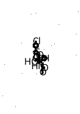 COCC(=O)NCC1(c2ccccc2)CC1(NS(=O)(=O)c1ccc(-c2ccc(Cl)cc2)s1)C(=O)O